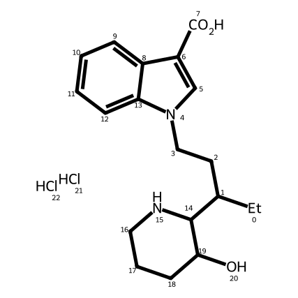 CCC(CCn1cc(C(=O)O)c2ccccc21)C1NCCCC1O.Cl.Cl